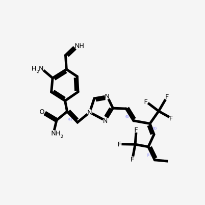 C\C=C(/C=C(\C=C\c1ncn(/C=C(/C(N)=O)c2ccc(C=N)c(N)c2)n1)C(F)(F)F)C(F)(F)F